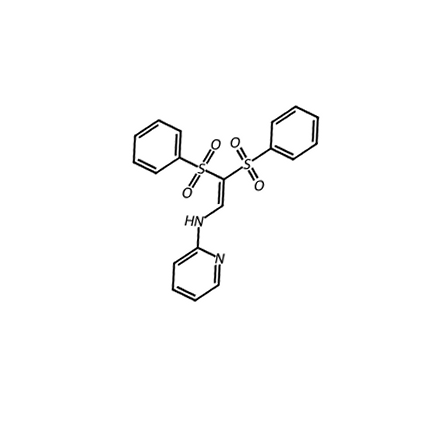 O=S(=O)(C(=CNc1ccccn1)S(=O)(=O)c1ccccc1)c1ccccc1